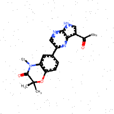 CCN1C(=O)C(C)(C)Oc2ccc(-c3cnc4[nH]cc(C(=O)C(C)(C)C)c4n3)cc21